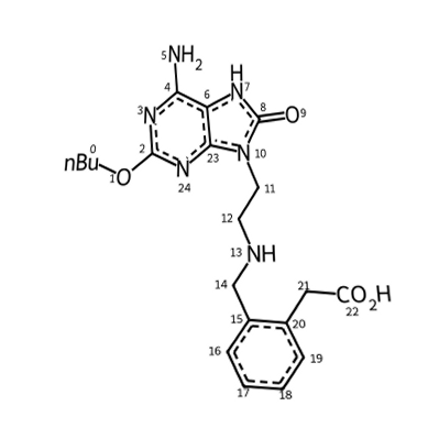 CCCCOc1nc(N)c2[nH]c(=O)n(CCNCc3ccccc3CC(=O)O)c2n1